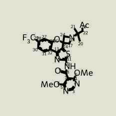 COc1ncnc(OC)c1C(=O)Nc1nc2c(s1)C1(CN(C(C)(C)CC(C)=O)C1)Oc1cc(C(F)(F)F)ccc1-2